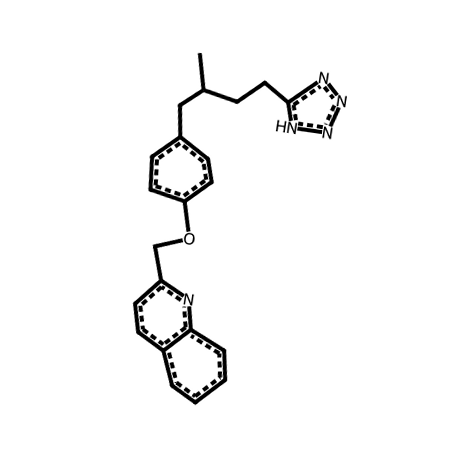 CC(CCc1nnn[nH]1)Cc1ccc(OCc2ccc3ccccc3n2)cc1